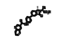 CCC(C(=O)O)N1C(=O)c2cc(-c3ccc(NC(=O)c4cnc5ccccc5c4)cc3)ccc2[C@@H]1C